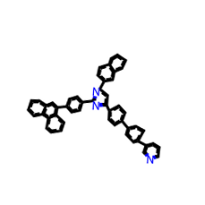 c1cncc(-c2ccc(-c3ccc(-c4cc(-c5ccc6ccccc6c5)nc(-c5ccc(-c6cc7ccccc7c7ccccc67)cc5)n4)cc3)cc2)c1